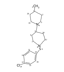 CC1CCN(C2CCN(Sc3ccc(Cl)cc3)CC2)CC1